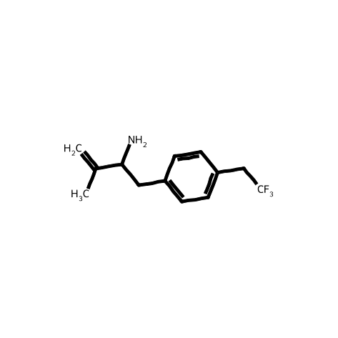 C=C(C)C(N)Cc1ccc(CC(F)(F)F)cc1